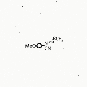 COc1ccc(/C(C#N)=N/CCSOC(F)(F)F)cc1